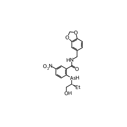 CC[C@@H](CO)[AsH]c1ccc([N+](=O)[O-])cc1C(=O)NCc1ccc2c(c1)OCO2